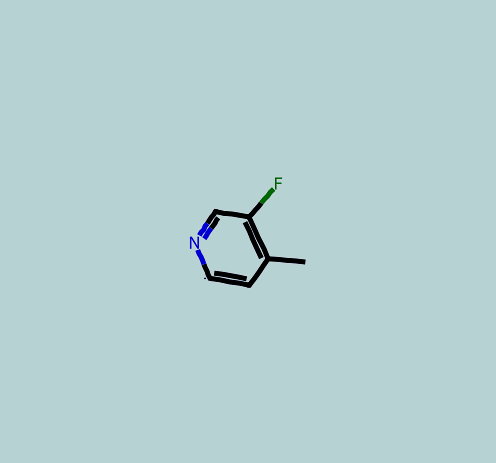 Cc1c[c]ncc1F